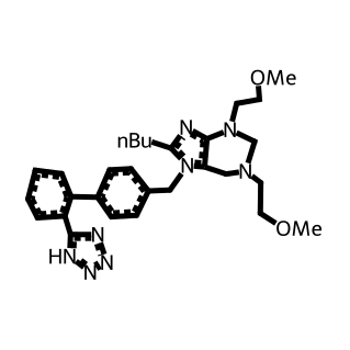 CCCCc1nc2c(n1Cc1ccc(-c3ccccc3-c3nnn[nH]3)cc1)CN(CCOC)CN2CCOC